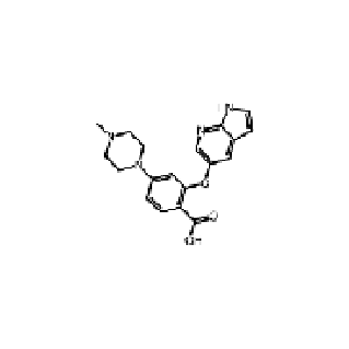 CN1CCN(c2ccc(C(=O)O)c(Oc3cnc4[nH]ccc4c3)c2)CC1